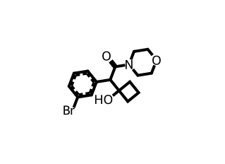 O=C(C(c1cccc(Br)c1)C1(O)CCC1)N1CCOCC1